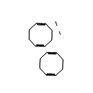 C1=CCCC=CCC1.C1=CCCC=CCC1.[Cl][Pd][Cl]